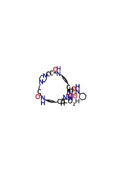 O=C1CCN2CCN(CCC(=O)Nc3ccc(cc3)C[C@@H](NS(=O)(=O)NC3CCCCC3)C(=O)N[C@H](C(=O)O)Cc3ccc(cc3)N1)CC2